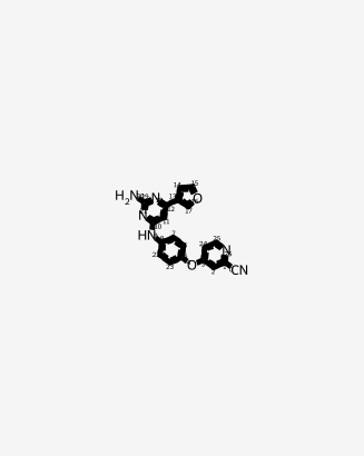 N#Cc1cc(Oc2ccc(Nc3cc(-c4ccoc4)nc(N)n3)cc2)ccn1